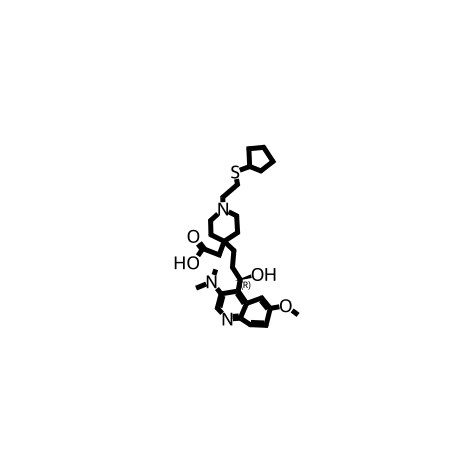 COc1ccc2ncc(N(C)C)c([C@H](O)CCC3(CC(=O)O)CCN(CCSC4CCCC4)CC3)c2c1